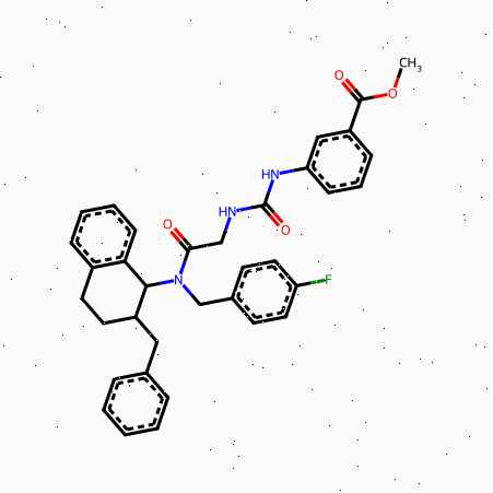 COC(=O)c1cccc(NC(=O)NCC(=O)N(Cc2ccc(F)cc2)C2c3ccccc3CCC2Cc2ccccc2)c1